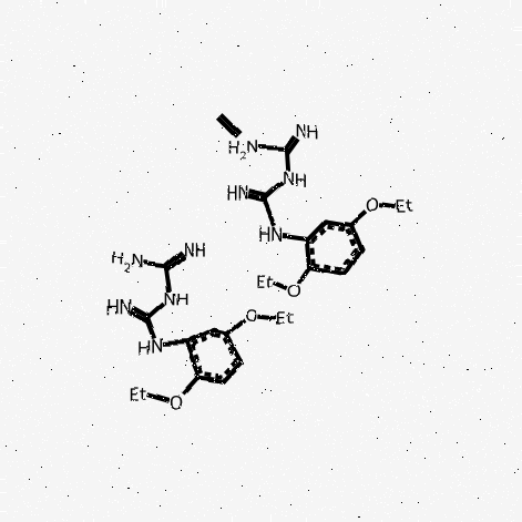 C=C.CCOc1ccc(OCC)c(NC(=N)NC(=N)N)c1.CCOc1ccc(OCC)c(NC(=N)NC(=N)N)c1